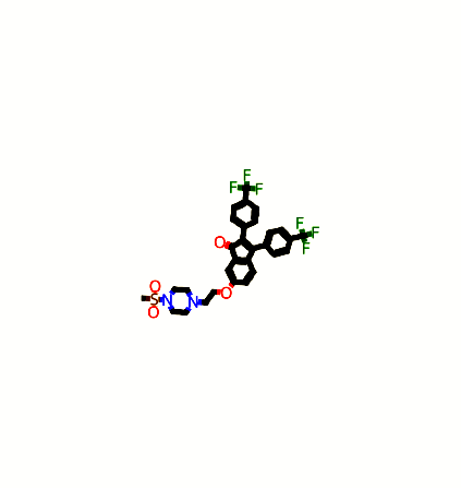 CS(=O)(=O)N1CCN(CCOc2ccc3c(c2)C(=O)C(c2ccc(C(F)(F)F)cc2)=C3c2ccc(C(F)(F)F)cc2)CC1